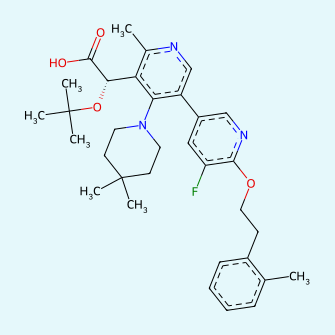 Cc1ccccc1CCOc1ncc(-c2cnc(C)c([C@H](OC(C)(C)C)C(=O)O)c2N2CCC(C)(C)CC2)cc1F